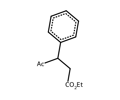 CCOC(=O)CC(C(C)=O)c1ccccc1